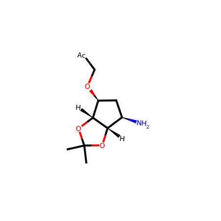 CC(=O)CO[C@H]1C[C@@H](N)[C@@H]2OC(C)(C)O[C@@H]21